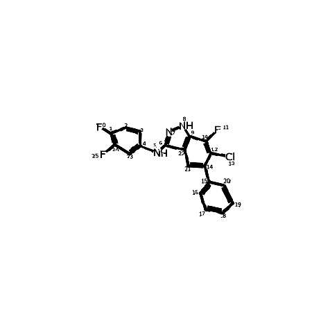 Fc1ccc(Nc2n[nH]c3c(F)c(Cl)c(-c4ccccc4)cc23)cc1F